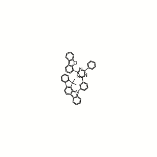 CC1(C)c2ccccc2-c2ccc3c4ccccc4n(-c4cccc(-c5nc(-c6ccccc6)nc(-c6cccc7c6oc6ccccc67)n5)c4)c3c21